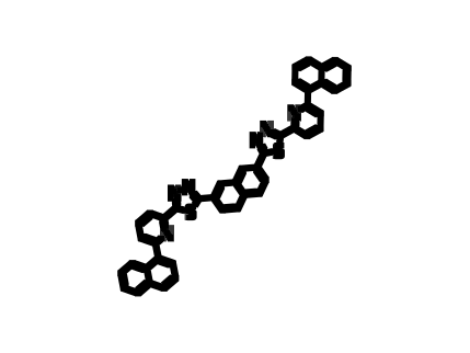 c1cc(-c2nnc(-c3ccc4ccc(-c5nnc(-c6cccc(-c7cccc8ccccc78)n6)s5)cc4c3)s2)nc(-c2cccc3ccccc23)c1